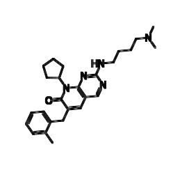 Cc1ccccc1Cc1cc2cnc(NCCCCN(C)C)nc2n(C2CCCC2)c1=O